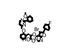 COc1ccccc1-c1nccc(COc2ccccc2C[C@@H](Oc2ncnc3oc(-c4ccc(F)cc4)c(Br)c23)C(=O)O)n1